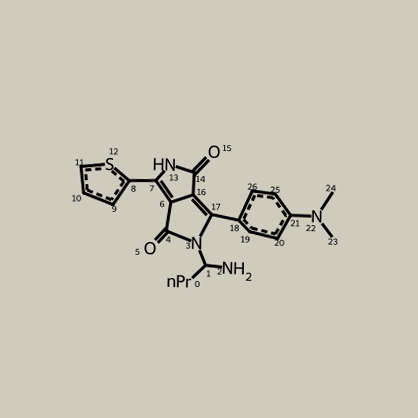 CCCC(N)N1C(=O)C2=C(c3cccs3)NC(=O)C2=C1c1ccc(N(C)C)cc1